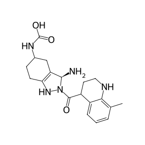 Cc1cccc2c1NCCC2C(=O)N1NC2=C(CC(NC(=O)O)CC2)[C@H]1N